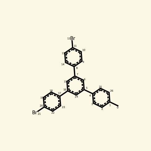 Cc1ccc(-c2cc(-c3ccc(Br)cc3)cc(-c3ccc(Br)cc3)c2)cc1